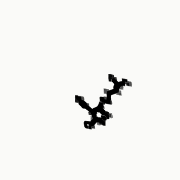 N#Cc1c(Cl)nsc1SCCC=C(F)F